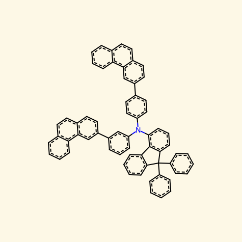 c1ccc(C2(c3ccccc3)c3ccccc3-c3c(N(c4ccc(-c5ccc6ccc7ccccc7c6c5)cc4)c4cccc(-c5ccc6ccc7ccccc7c6c5)c4)cccc32)cc1